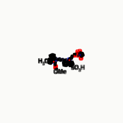 COCCOCC[N+]1=C(/C=C/C=C/C=C/C=C2/N(CCCCCC(=O)ON3C(=O)CCC3=O)c3ccc(S(=O)(=O)O)cc3C23CCCCC3)C2(CCCCC2)c2cc(C)ccc21